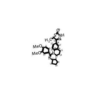 COc1ccc(/C(=N/C2CCCC2)N2CCCc3cc(C4=NNC(=O)SC4C)ccc32)cc1OC